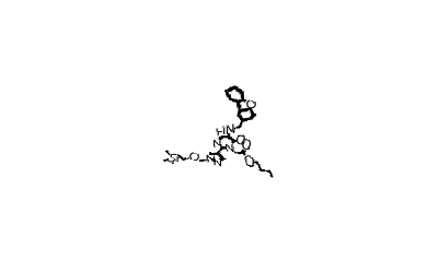 CCCCOC(=O)Cn1c(-c2cnn(COCC[Si](C)(C)C)c2)ncc(NCc2ccc3oc4ccccc4c3c2)c1=O